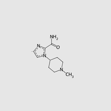 CN1CCC(n2c[c]nc2C(N)=O)CC1